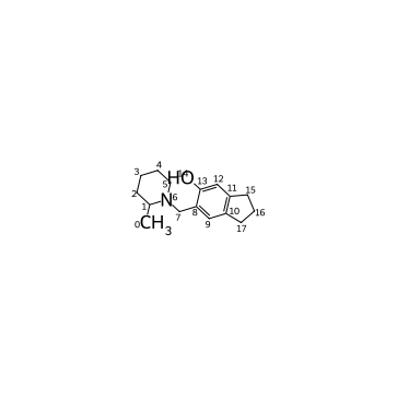 CC1CCCCN1Cc1cc2c(cc1O)CCC2